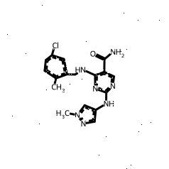 Cc1ccc(Cl)cc1CNc1nc(Nc2cnn(C)c2)ncc1C(N)=O